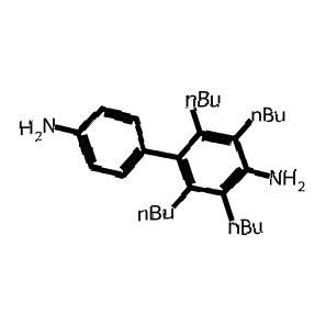 CCCCc1c(N)c(CCCC)c(CCCC)c(-c2ccc(N)cc2)c1CCCC